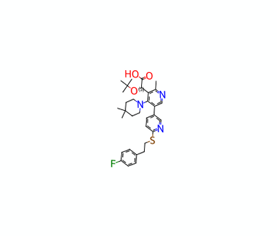 Cc1ncc(-c2ccc(SCCc3ccc(F)cc3)nc2)c(N2CCC(C)(C)CC2)c1[C@H](OC(C)(C)C)C(=O)O